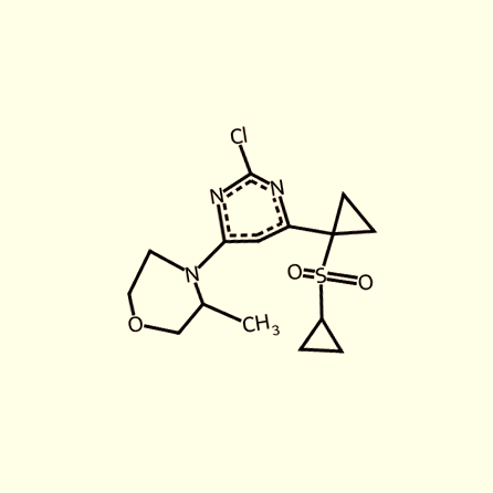 CC1COCCN1c1cc(C2(S(=O)(=O)C3CC3)CC2)nc(Cl)n1